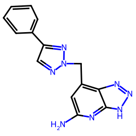 Nc1cc(Cn2ncc(-c3ccccc3)n2)c2nn[nH]c2n1